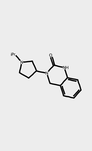 CC(C)N1CCC(N2Cc3ccccc3NC2=O)C1